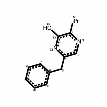 CC(C)c1ncc(Cc2ccccc2)nc1O